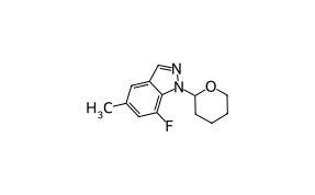 Cc1cc(F)c2c(cnn2C2CCCCO2)c1